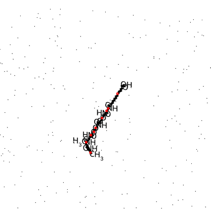 CCCCNC(=O)CC[C@@H](C)NC(=O)CCCNC(=O)COCCOCCNC(=O)COCCOCCNC(=O)CCCNC(=O)CCCCCCCCCCCCCCCCC(=O)O